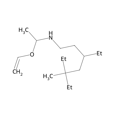 C=COC(C)NCCC(CC)CC(C)(CC)CC